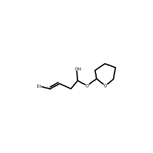 CCC=CCC(O)OC1CCCCO1